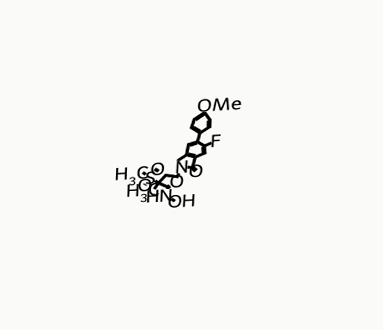 COc1ccc(-c2cc3c(cc2F)C(=O)N(CCC(C)(C(=O)NO)S(C)(=O)=O)C3)cc1